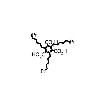 CC(C)CCCCCc1c(C(=O)O)c(CCCCCC(C)C)c(C(=O)O)c(CCCCCC(C)C)c1C(=O)O